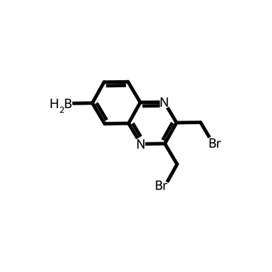 Bc1ccc2nc(CBr)c(CBr)nc2c1